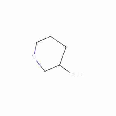 [AsH2]C1[CH][N]CCC1